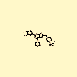 CS(=O)(=O)N1CCN(Cc2cc3c(N4CCOCC4)nc(-c4cnc(N)c(Cl)c4)nc3s2)CC1